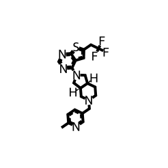 Cc1ccc(CN2CC[C@@H]3CN(c4ncnc5sc(CC(F)(F)F)cc45)C[C@@H]3C2)cn1